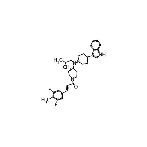 Cc1c(F)cc(/C=C/C(=O)N2CCC(N(CC(C)C)N3CCC(c4c[nH]c5ccccc45)CC3)CC2)cc1F